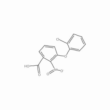 O=C(O)c1cccc(Oc2ccccc2Cl)c1[N+](=O)[O-]